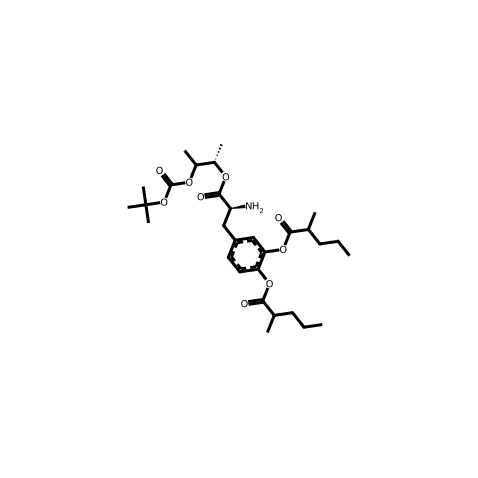 CCCC(C)C(=O)Oc1ccc(C[C@H](N)C(=O)O[C@@H](C)C(C)OC(=O)OC(C)(C)C)cc1OC(=O)C(C)CCC